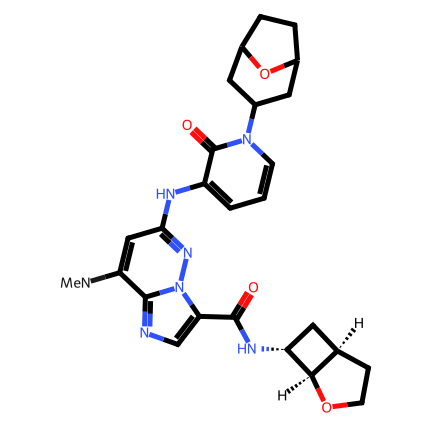 CNc1cc(Nc2cccn(C3CC4CCC(C3)O4)c2=O)nn2c(C(=O)N[C@@H]3C[C@H]4CCO[C@H]43)cnc12